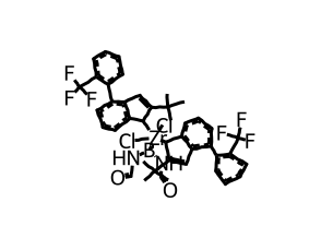 CC(C)(C)C1=Cc2c(-c3ccccc3C(F)(F)F)cccc2[CH]1[Zr]([Cl])([Cl])([B](NC=O)NC=O)[CH]1C(C(C)(C)C)=Cc2c(-c3ccccc3C(F)(F)F)cccc21